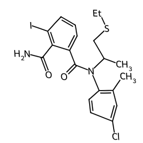 CCSCC(C)N(C(=O)c1cccc(I)c1C(N)=O)c1ccc(Cl)cc1C